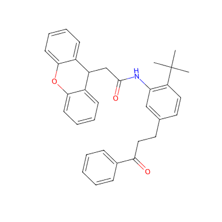 CC(C)(C)c1ccc(CCC(=O)c2ccccc2)cc1NC(=O)CC1c2ccccc2Oc2ccccc21